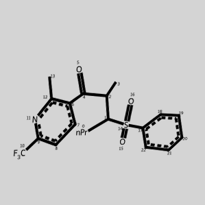 CCCC(C(C)C(=O)c1ccc(C(F)(F)F)nc1C)S(=O)(=O)c1ccccc1